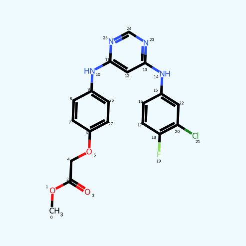 COC(=O)COc1ccc(Nc2cc(Nc3ccc(F)c(Cl)c3)ncn2)cc1